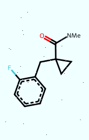 CNC(=O)C1(Cc2ccccc2F)CC1